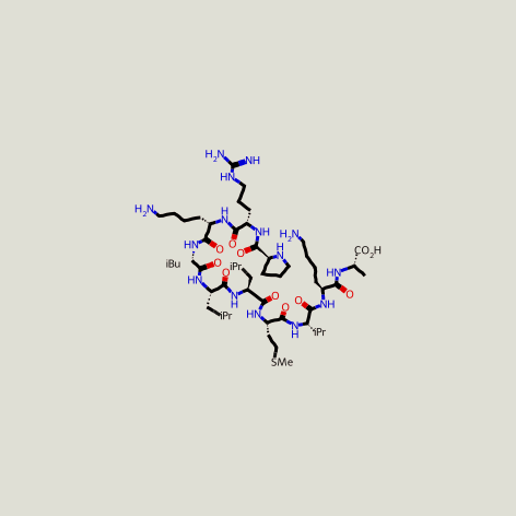 CC[C@H](C)[C@H](NC(=O)[C@H](CCCCN)NC(=O)[C@H](CCCNC(=N)N)NC(=O)[C@@H]1CCCN1)C(=O)N[C@@H](CC(C)C)C(=O)N[C@@H](CC(C)C)C(=O)N[C@@H](CCSC)C(=O)N[C@H](C(=O)N[C@@H](CCCCN)C(=O)N[C@@H](C)C(=O)O)C(C)C